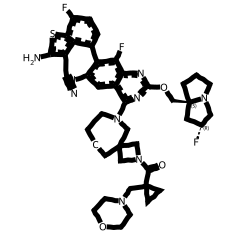 N#Cc1c(N)sc2c(F)ccc(-c3c(Cl)cc4c(N5CCCCC6(CN(C(=O)C7(CN8CCOCC8)CC7)C6)C5)nc(OC[C@@]56CCCN5C[C@H](F)C6)nc4c3F)c12